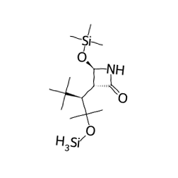 CC(C)(C)[C@@H]([C@H]1C(=O)N[C@@H]1O[Si](C)(C)C)C(C)(C)O[SiH3]